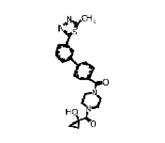 Cc1nnc(-c2cccc(-c3ccc(C(=O)N4CCN(C(=O)C5(O)CC5)CC4)cc3)c2)s1